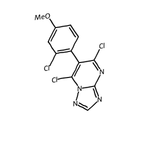 COc1ccc(-c2c(Cl)nc3ncnn3c2Cl)c(Cl)c1